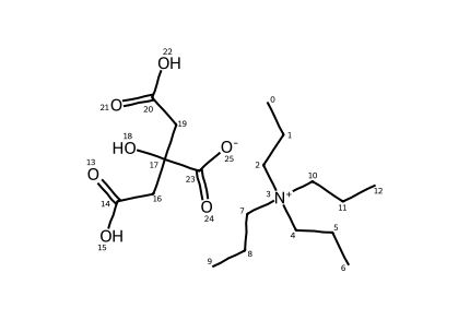 CCC[N+](CCC)(CCC)CCC.O=C(O)CC(O)(CC(=O)O)C(=O)[O-]